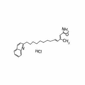 CC(C=CCCCCCCCCc1ccc2ccccc2n1)=CC(N)=O.Cl